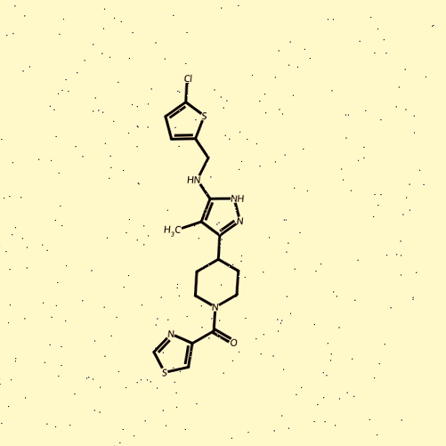 Cc1c(C2CCN(C(=O)c3cscn3)CC2)n[nH]c1NCc1ccc(Cl)s1